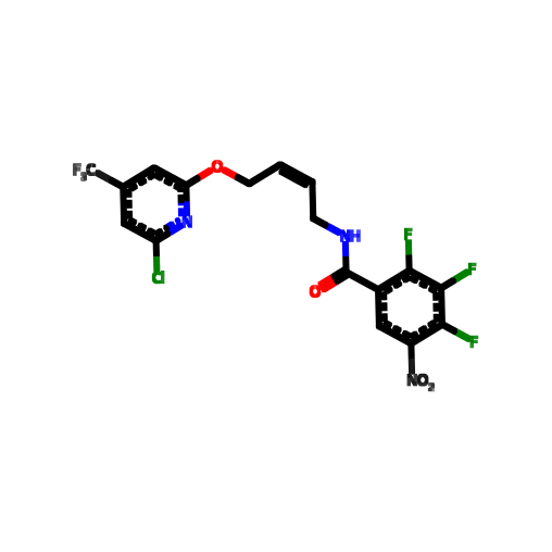 O=C(NC/C=C\COc1cc(C(F)(F)F)cc(Cl)n1)c1cc([N+](=O)[O-])c(F)c(F)c1F